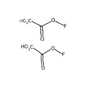 O=C(O)C(=O)OF.O=C(O)C(=O)OF